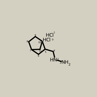 Cl.Cl.NNCC1CC2CCC1C2